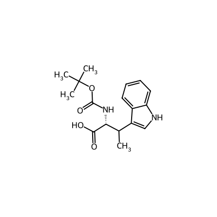 CC(c1c[nH]c2ccccc12)[C@@H](NC(=O)OC(C)(C)C)C(=O)O